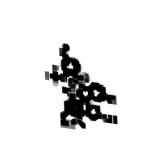 COc1ccc(S(=O)(=O)N2C(=O)C(c3ccc(CO)cc3OC)(N3C[C@H](O)C[C@H]3C(=O)N(C)C)c3cc(Cl)ccc32)c(OC(F)(F)F)c1